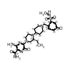 CC[C@H]1CN(c2nc(N)c(C(N)=O)nc2Cl)CCN1C1CCN(Cc2ccc(Cl)cc2S(=O)(=O)NC)CC1